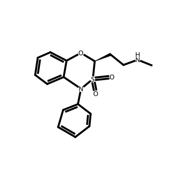 CNCC[C@@H]1Oc2ccccc2N(c2ccccc2)S1(=O)=O